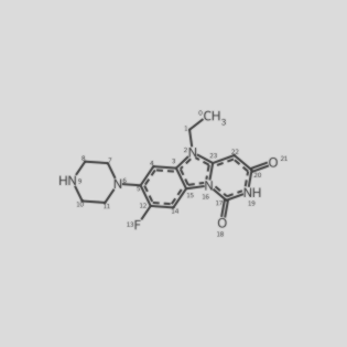 CCn1c2cc(N3CCNCC3)c(F)cc2n2c(=O)[nH]c(=O)cc12